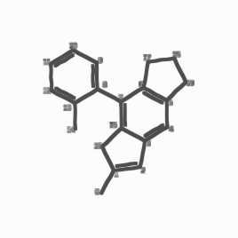 CC1=Cc2cc3c(c(-c4ccccc4C)c2C1)CCC3